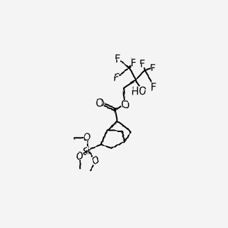 CO[Si](OC)(OC)C1CC2CC(C(=O)OCC(O)(C(F)(F)F)C(F)(F)F)C1C2